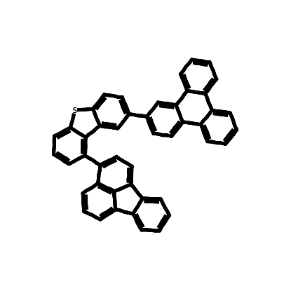 c1ccc2c(c1)-c1cccc3c(-c4cccc5sc6ccc(-c7ccc8c9ccccc9c9ccccc9c8c7)cc6c45)ccc-2c13